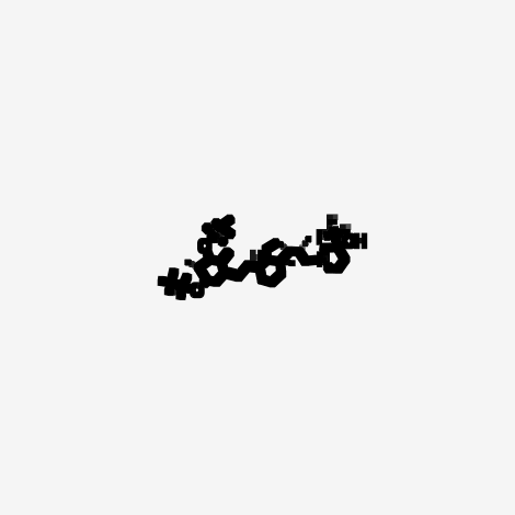 C=C1/C(=C\C=C2/CCC[C@]3(C)[C@@H]([C@H](C)CN4CCCC(O)(C(F)(F)F)C4)CC[C@@H]23)CC(O[Si](C)(C)C(C)(C)C)[C@H](C)C1O[Si](C)(C)C(C)(C)C